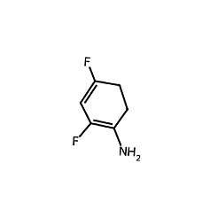 NC1=C(F)C=C(F)CC1